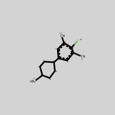 CCCCC1CCC(c2cc(C#N)c(F)c(C#N)c2)CC1